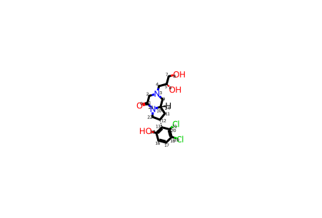 O=C1CN(C[C@H](O)CO)C[C@@H]2C[C@H](c3c(O)ccc(Cl)c3Cl)CN12